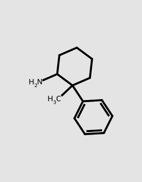 CC1(c2ccccc2)CCCCC1N